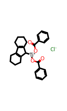 O=C([O][Ti+]([O]C(=O)c1ccccc1)[CH]1C2=C(CCCC2)C2=C1CCCC2)c1ccccc1.[Cl-]